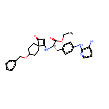 CCOC(=O)[C@H](Cc1ccc(Nc2ncccc2N)cc1)NC1=CC(=O)C12CCC(OCc1ccccc1)CC2